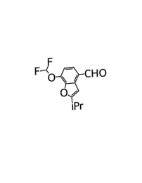 CC(C)c1cc2c(C=O)ccc(OC(F)F)c2o1